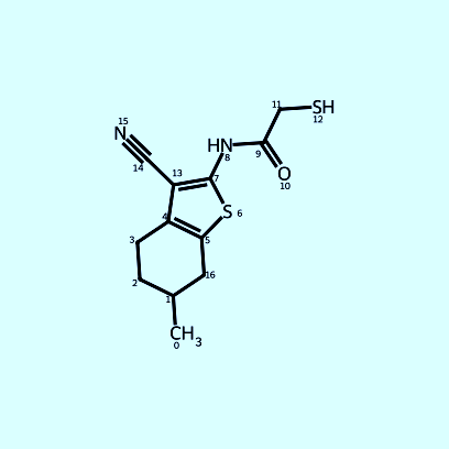 CC1CCc2c(sc(NC(=O)CS)c2C#N)C1